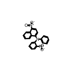 O=[N+]([O-])c1ccccc1N(c1ccccc1)c1ccc([N+](=O)[O-])c2ccccc12